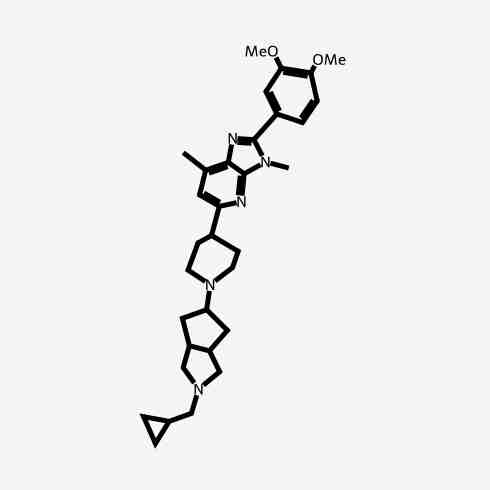 COc1ccc(-c2nc3c(C)cc(C4CCN(C5CC6CN(CC7CC7)CC6C5)CC4)nc3n2C)cc1OC